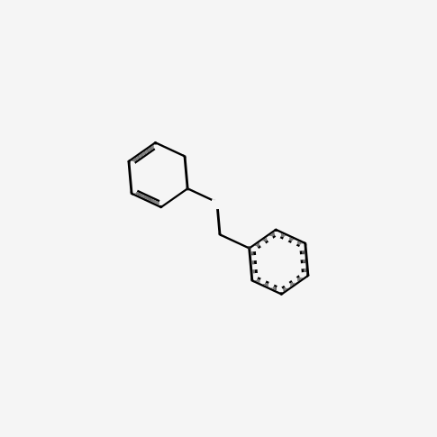 [C]1=CC=CCC1SCc1ccccc1